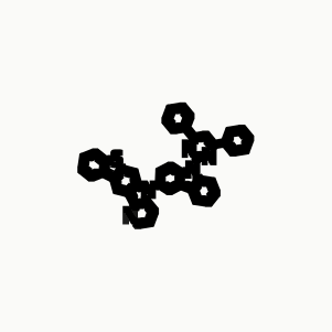 c1ccc(-c2cc(-c3ccccc3)nc(-n3c4ccccc4c4cc(-n5c6cc7sc8ccccc8c7cc6c6ncccc65)ccc43)n2)cc1